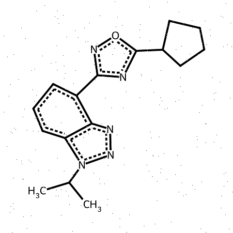 CC(C)n1nnc2c(-c3noc(C4CCCC4)n3)cccc21